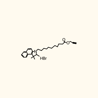 Br.C#CCOC(=O)CCCCCCCCCCN1c2ccc3ccccc3c2C(C)(C)C1C